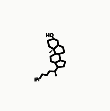 CC(C)CCC[C@H](C)C1CCC2C1CCC1C2CCC2C[C@@H](O)CC[C@@]21C